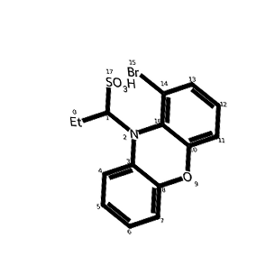 CCC(N1c2ccccc2Oc2cccc(Br)c21)S(=O)(=O)O